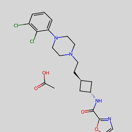 CC(=O)O.O=C(N[C@H]1C[C@H](CCN2CCN(c3cccc(Cl)c3Cl)CC2)C1)c1ncco1